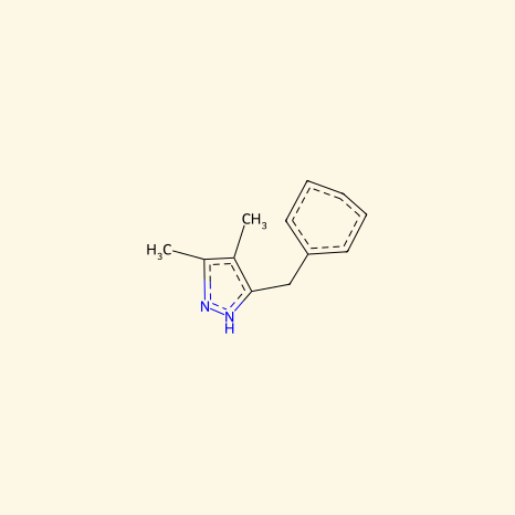 Cc1n[nH]c(Cc2ccccc2)c1C